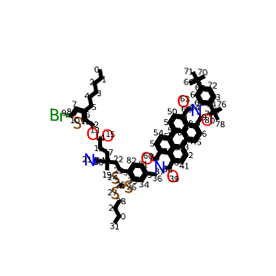 CCCCCCc1cc(Br)sc1COC(=O)CCC(C)(C#N)CC(SC(=S)SCCCC)c1ccc(CN2C(=O)c3ccc4c5ccc6c7c(ccc(c8ccc(c3c48)C2=O)c75)C(=O)N(c2cc(C(C)(C)C)ccc2C(C)(C)C)C6=O)cc1